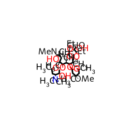 CC[C@@H](O)[C@](C)(OC=O)[C@@H](CC)OC(=O)[C@H](C)[C@@H](OC1C[C@@](C)(OC)C[C@H](C)O1)[C@H](C)[C@@H](OC1O[C@H](C)C[C@H](N(C)C)[C@H]1O)[C@](C)(O)C[C@@H](C)CNC